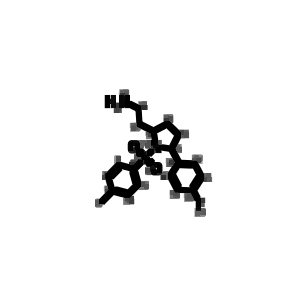 Cc1ccc(S(=O)(=O)N2C(CCN)CCC2c2ccc(F)cc2)cc1